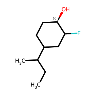 CCC(C)C1CC[C@@H](O)C(F)C1